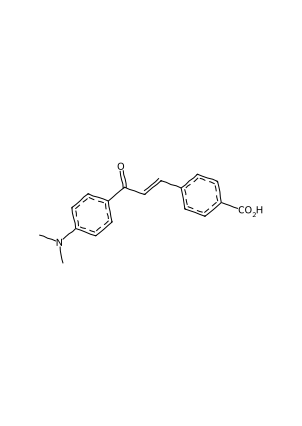 CN(C)c1ccc(C(=O)/C=C/c2ccc(C(=O)O)cc2)cc1